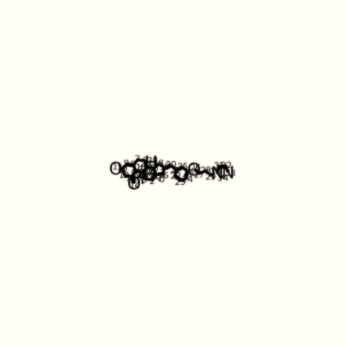 C[C@]12CC[C@H]3[C@@H](CCC4=CC(=O)CC(=O)[C@@]43C)[C@@H]1CC(=Cc1cccc(OCCCn3ccnc3)c1)C2